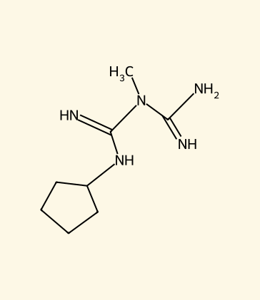 CN(C(=N)N)C(=N)NC1CCCC1